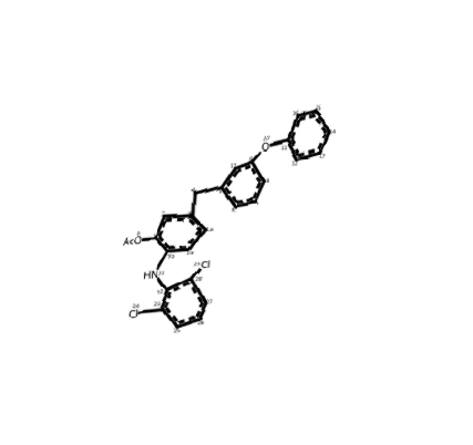 CC(=O)Oc1cc(Cc2cccc(Oc3ccccc3)c2)ccc1Nc1c(Cl)cccc1Cl